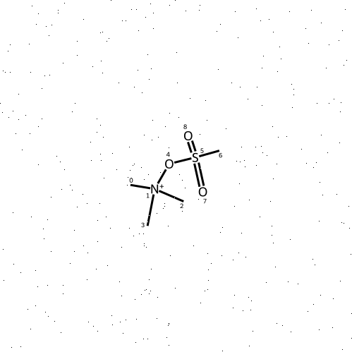 C[N+](C)(C)OS(C)(=O)=O